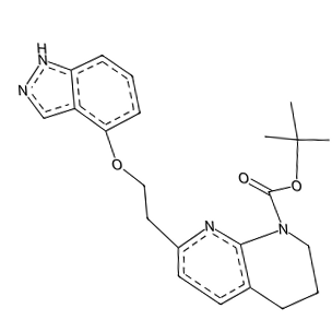 CC(C)(C)OC(=O)N1CCCc2ccc(CCOc3cccc4[nH]ncc34)nc21